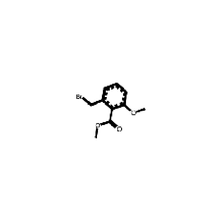 COC(=O)c1c(CBr)cccc1OC